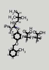 CCN(/C(=N\c1ccc(OCc2ccccc2C)cc1)NCC(C)(C)CN)C(C)C.O=C(O)C(F)(F)F.O=C(O)C(F)(F)F